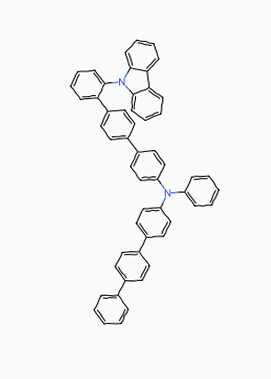 c1ccc(-c2ccc(-c3ccc(N(c4ccccc4)c4ccc(-c5ccc(-c6ccccc6-n6c7ccccc7c7ccccc76)cc5)cc4)cc3)cc2)cc1